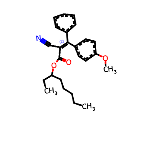 CCCCCC(CC)OC(=O)/C(C#N)=C(/c1ccccc1)c1ccc(OC)cc1